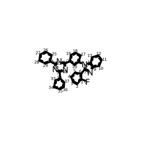 Fc1ccccc1-c1nc2ccccc2n1-c1cccc(-c2nc(-c3ccccc3)nc(-c3ccccc3)n2)c1